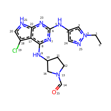 CCn1cc(Nc2nc(NC3CCN(C=O)C3)c3c(Cl)c[nH]c3n2)cn1